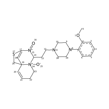 COc1ccccc1N1CCN(CCC2[N+](=O)C3=CC4(C=CCC[N+]24[O-])CS3)CC1